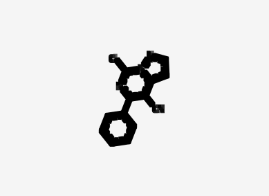 N#Cc1c(-c2ccccc2)nc(Cl)n2nccc12